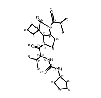 CC(C)C(=O)N1C(=O)C2(CCC2)C2C1CCN2C(=O)[C@@H](NC(=O)NC1CCCC1)C(C)C